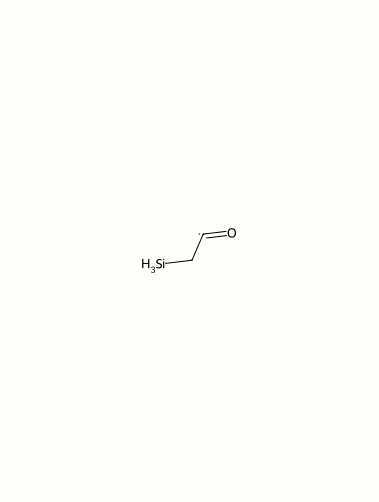 O=[C]C[SiH3]